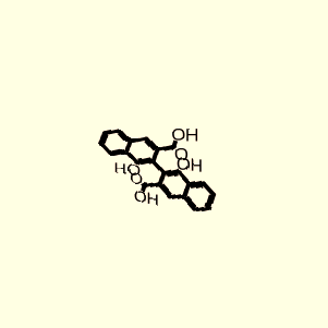 O=C(O)c1cc2ccccc2c(O)c1-c1c(C(=O)O)cc2ccccc2c1O